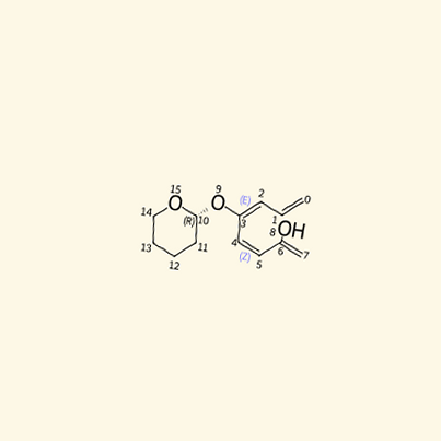 C=C/C=C(\C=C/C(=C)O)O[C@@H]1CCCCO1